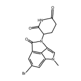 Cn1cc2c3c(cc(Br)cc31)C(=O)N2C1CCC(=O)NC1=O